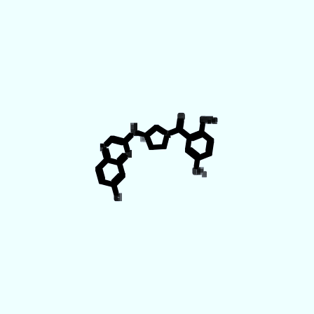 COc1ccc(C)cc1C(=O)N1CC[C@@H](Nc2cnc3ccc(Cl)cc3n2)C1